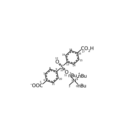 CCCC[N+](C)(CCCC)CCCC.O=C([O-])c1ccc(S(=O)(=O)c2ccc(C(=O)O)cc2)cc1